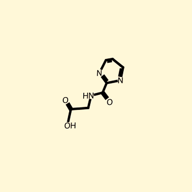 O=C(O)CNC(=O)c1ncccn1